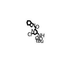 CC(C)(C)OC(=O)Nc1cc(Cl)nc(C(=O)N2Cc3ccccc3C2)c1